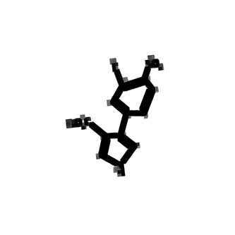 CCOC(=O)c1c[nH]cc1-c1ccc([N+](=O)[O-])c(F)c1